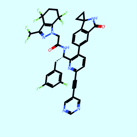 O=C(Cn1nc(C(F)F)c2c1C(F)(F)CCC2(F)F)N[C@@H](Cc1cc(F)cc(F)c1)c1nc(C#Cc2cncnc2)ccc1-c1ccc2c(c1)C(=O)NC21CC1